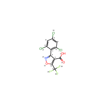 O=C(O)c1c(-c2c(Cl)cc(Cl)cc2Cl)noc1C(F)(F)F